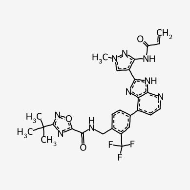 C=CC(=O)Nc1nn(C)cc1-c1nc2c(-c3ccc(CNC(=O)c4nc(C(C)(C)C)no4)c(C(F)(F)F)c3)ccnc2[nH]1